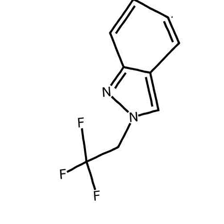 FC(F)(F)Cn1cc2c[c]ccc2n1